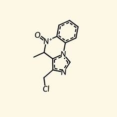 CC1c2c(CCl)ncn2-c2ccccc2[N+]1=O